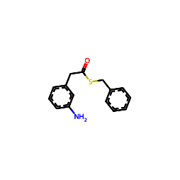 Nc1cccc(CC(=O)SCc2ccccc2)c1